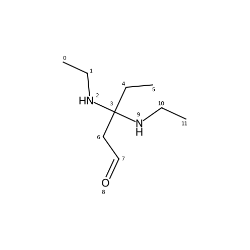 CCNC(CC)(CC=O)NCC